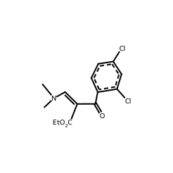 CCOC(=O)C(=CN(C)C)C(=O)c1ccc(Cl)cc1Cl